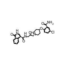 NC(=O)c1cc(Cl)ccc1OC1CCN(C[C@H](O)CNC(=O)c2c[nH]c(=O)c3ccccc23)CC1